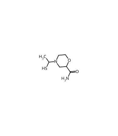 CC(S)N1CCOC(C(N)=O)C1